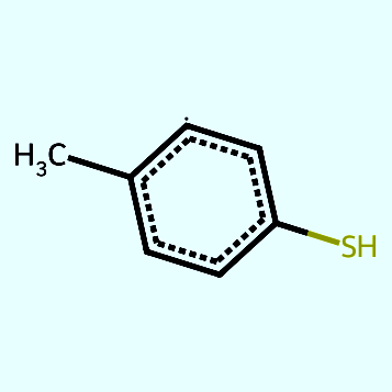 Cc1[c]cc(S)cc1